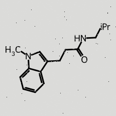 CC(C)CNC(=O)CCc1cn(C)c2ccccc12